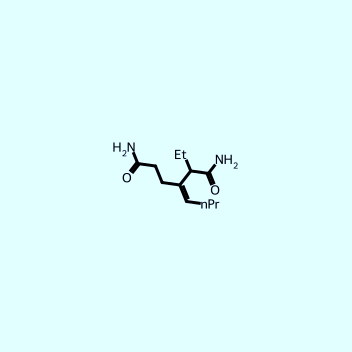 CCCC=C(CCC(N)=O)C(CC)C(N)=O